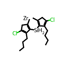 CCCCC1=C(Cl)CC(C)=C1[SiH2]C1=C(C)CC(Cl)=C1CCCC.[Zr]